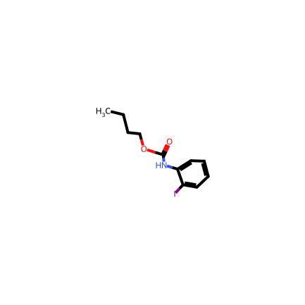 CCCCOC(=O)Nc1ccccc1I